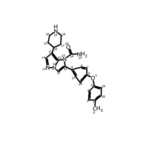 Cc1ccc(Oc2ccc(-c3cn4ncc(C5CCNCC5)c4n3C(N)=O)cc2)cc1